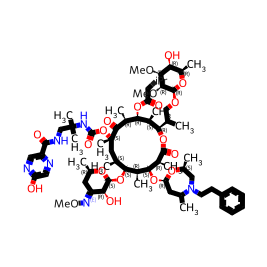 CO/N=C1\C[C@@H](C)O[C@@H](O[C@@H]2[C@@H](C)[C@H](O[C@H]3CC(C)N(CCc4ccccc4)C[C@H](C)O3)[C@@H](C)C(=O)O[C@H](C(C)CO[C@@H]3O[C@H](C)[C@@H](O)[C@@H](OC)[C@H]3OC)[C@H](C)[C@@H](OC(=O)CC(C)C)[C@@H](C)C(=O)[C@@](C)(OC(=O)NC(C)(C)CNC(=O)c3cnc(O)cn3)C[C@@H]2C)[C@@H]1O